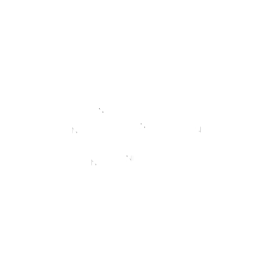 SCCNc1[nH]cnc2ncnc1-2